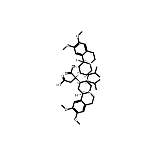 COc1cc2c(cc1OC)[C@H]1C[C@@H](C(CC(=O)O)(C(=O)O)[C@@H]3C[C@@H]4c5cc(OC)c(OC)cc5CCN4C[C@@H]3CC(C)C)[C@@H](CC(C)C)CN1CC2